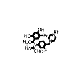 C=C(c1cc(C(C)C)c(O)cc1O)N(C(=N)C=O)C1=CC(F)=C(CN2CCN(CC)CC2)CC1